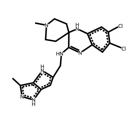 Cc1n[nH]c2cc(CNC3=Nc4cc(Cl)c(Cl)cc4NC34CCN(C)CC4)[nH]c12